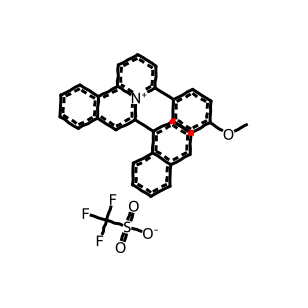 COc1ccc(-c2cccc3c4ccccc4cc(-c4cccc5ccccc45)[n+]23)cc1.O=S(=O)([O-])C(F)(F)F